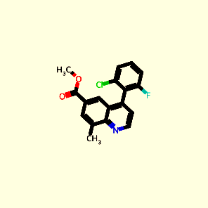 COC(=O)c1cc(C)c2nccc(-c3c(F)cccc3Cl)c2c1